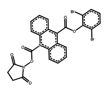 O=C(Oc1c(Br)cccc1Br)c1c2ccccc2[n+](C(=O)ON2C(=O)CCC2=O)c2ccccc12